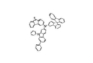 c1ccc(-c2ccc3c4ccc(N(c5ccc6c(c5)-c5ccccc5C65c6ccccc6-c6ccccc65)c5ccc6sc7ccccc7c6c5)cc4n(-c4ccccc4)c3c2)cc1